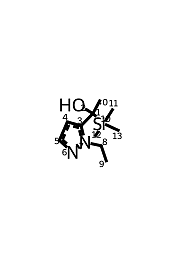 [CH2]C(O)(c1ccnn1CC)[Si](C)(C)C